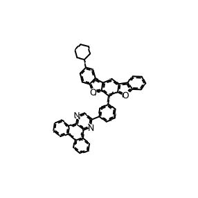 c1cc(-c2cnc3c4ccccc4c4ccccc4c3n2)cc(-c2c3oc4ccccc4c3cc3c2oc2ccc(C4CCCCC4)cc23)c1